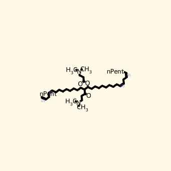 CCCCC/C=C\C/C=C\CCCCCCCCC(OC(=O)CCN(C)C)C(CCCCCCCC/C=C\C/C=C\CCCCC)C(=O)CCN(C)C